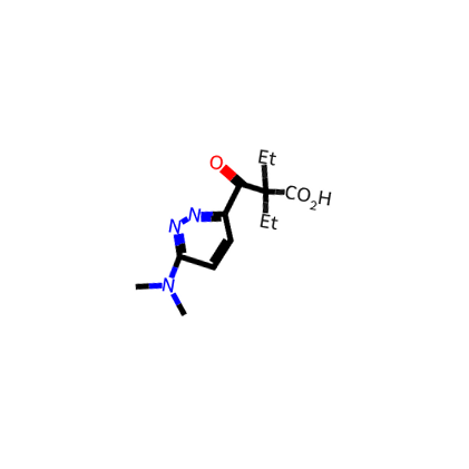 CCC(CC)(C(=O)O)C(=O)c1ccc(N(C)C)nn1